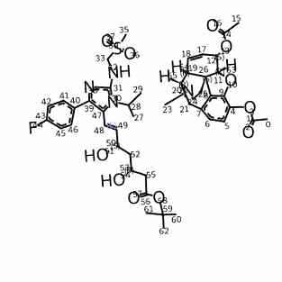 CC(=O)Oc1ccc2c3c1O[C@H]1[C@@H](OC(C)=O)C=C[C@H]4[C@@H](C2)N(C)CC[C@@]341.CC(C)n1c(NCS(C)(=O)=O)nc(-c2ccc(F)cc2)c1/C=C/[C@@H](O)C[C@@H](O)CC(=O)OC(C)(C)C